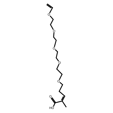 C=COCCOCCOCCOCCOCCC=C(C)C(=O)O